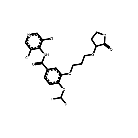 O=C(Nc1c(Cl)cncc1Cl)c1ccc(OC(F)F)c(OCCCSC2CCOC2=O)c1